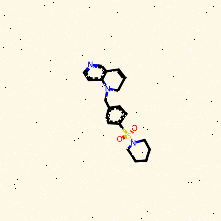 O=S(=O)(c1ccc(CN2CC=Cc3cnccc32)cc1)N1CCCCC1